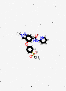 CCn1cc2c(Oc3ccc(S(C)(=O)=O)cc3)cc(C(=O)Nc3ccccn3)cc2n1